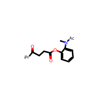 CC(=O)N(C)c1ccccc1OC(=O)CCC(=O)C(C)C